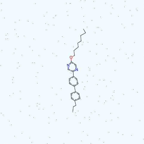 CCCCCCCCOc1cnc(-c2ccc(-c3ccc(CCC)cc3)cc2)cn1